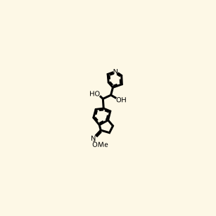 CON=C1CCc2cc(C(O)C(O)c3ccncc3)ccc21